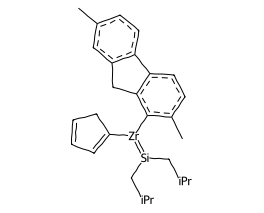 Cc1ccc2c(c1)Cc1c-2ccc(C)[c]1[Zr]([C]1=CC=CC1)=[Si](CC(C)C)CC(C)C